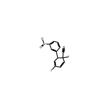 N#CC1(F)C=CC(F)=CC1c1cccc([N+](=O)[O-])c1